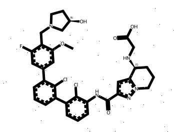 COc1cc(-c2cccc(-c3cccc(NC(=O)c4cc5n(n4)CCC[C@@H]5NCC(=O)O)c3Cl)c2Cl)cc(F)c1CN1CC[C@@H](O)C1